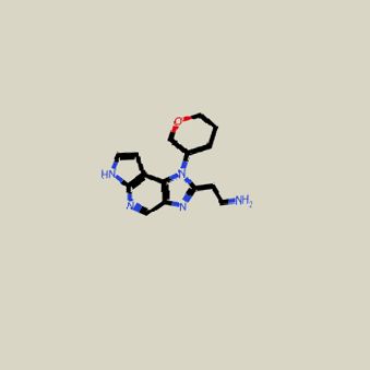 NCCc1nc2cnc3[nH]ccc3c2n1C1CCCOC1